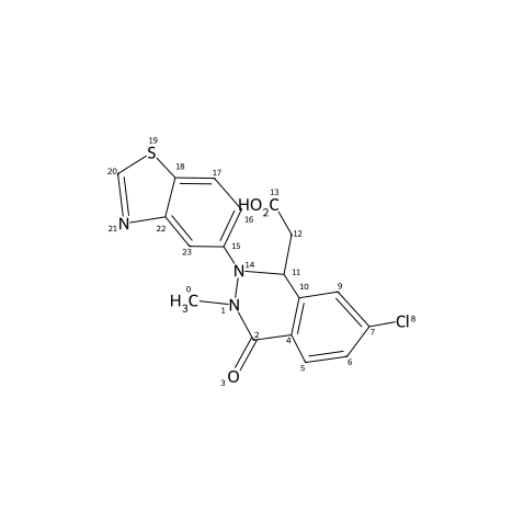 CN1C(=O)c2ccc(Cl)cc2C(CC(=O)O)N1c1ccc2scnc2c1